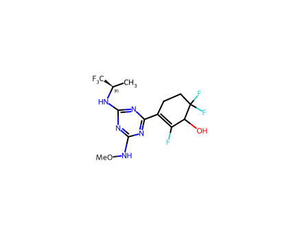 CONc1nc(N[C@H](C)C(F)(F)F)nc(C2=C(F)C(O)C(F)(F)CC2)n1